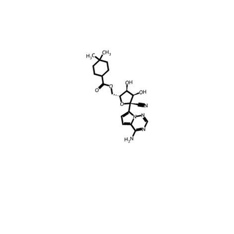 CC1(C)CCC(C(=O)OC[C@H]2O[C@@](C#N)(c3ccc4c(N)ncnn34)[C@H](O)[C@@H]2O)CC1